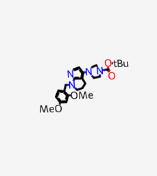 COc1ccc(CN2CCCc3c(N4CCN(C(=O)OC(C)(C)C)CC4)ccnc32)c(OC)c1